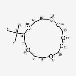 CC(C)(C)C1COCCOCCOCCOCCO1